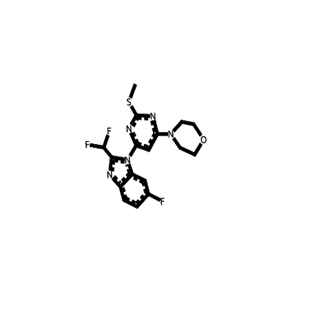 CSc1nc(N2CCOCC2)cc(-n2c(C(F)F)nc3ccc(F)cc32)n1